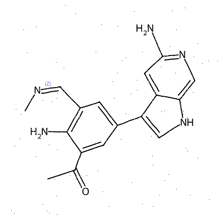 C/N=C\c1cc(-c2c[nH]c3cnc(N)cc23)cc(C(C)=O)c1N